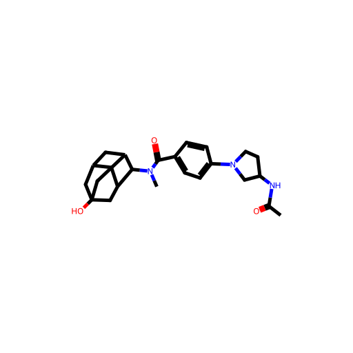 CC(=O)NC1CCN(c2ccc(C(=O)N(C)C3C4CC5CC3CC(O)(C5)C4)cc2)C1